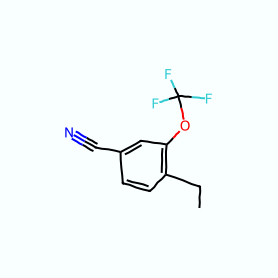 CCc1ccc(C#N)cc1OC(F)(F)F